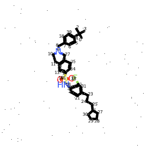 CC(C)(C)c1ccc(CN2CCc3cc(S(=O)(=O)Nc4ccc(CCCC5CCCC5)cc4F)ccc3C2)cc1